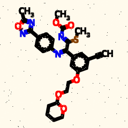 C#Cc1cc(OCCOC2CCCCO2)cc(C(=Nc2ccc(-c3noc(C)n3)cc2)C(=NC(=O)OC)SC)c1